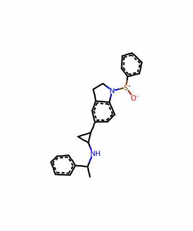 CC(NC1CC1c1ccc2c(c1)CCN2[S+]([O-])c1ccccc1)c1ccccc1